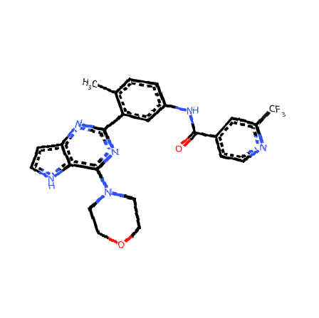 Cc1ccc(NC(=O)c2ccnc(C(F)(F)F)c2)cc1-c1nc(N2CCOCC2)c2[nH]ccc2n1